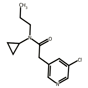 CCCN(C(=O)Cc1cncc(Cl)c1)C1CC1